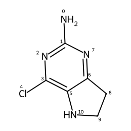 Nc1nc(Cl)c2c(n1)CCN2